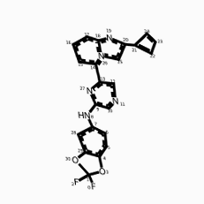 FC1(F)Oc2ccc(Nc3cncc(-c4cccc5nc(C6=CC=C6)cn45)n3)cc2O1